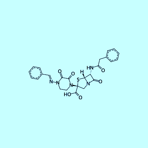 O=C(Cc1ccccc1)N[C@@H]1C(=O)N2C[C@@](C(=O)O)(N3CCN(/N=C/c4ccccc4)C(=O)C3=O)S[C@H]12